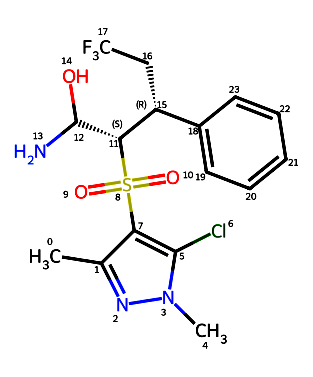 Cc1nn(C)c(Cl)c1S(=O)(=O)[C@H](C(N)O)[C@H](CC(F)(F)F)c1ccccc1